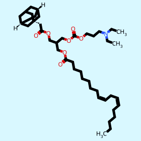 CCCCC/C=C\C/C=C\CCCCCCCC(=O)OCC(COC(=O)C[C@]12CC3C[C@@H](C[C@H](C3)C1)C2)COC(=O)OCCCN(CC)CC